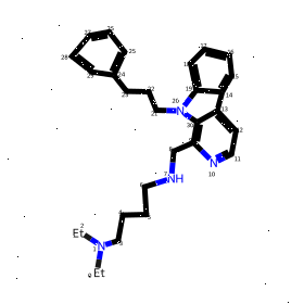 CCN(CC)CCCCNCc1nccc2c3ccccc3n(CCCc3ccccc3)c12